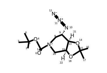 CC(C)(C)OC(=O)N1C[C@H](N=[N+]=[N-])[C@H]2OC(C)(C)O[C@H]2C1